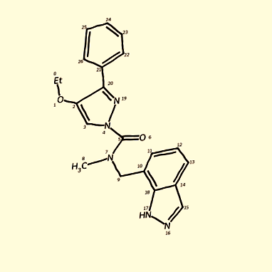 CCOc1cn(C(=O)N(C)Cc2cccc3cn[nH]c23)nc1-c1ccccc1